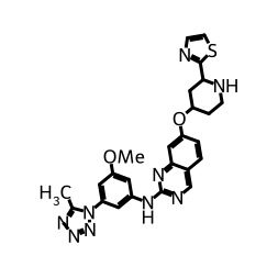 COc1cc(Nc2ncc3ccc(OC4CCNC(c5nccs5)C4)cc3n2)cc(-n2nnnc2C)c1